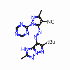 [C-]#[N+]c1c(C)nn(-c2ncncn2)c1/N=N/c1c(C(C)(C)C)nn2nc(C)[nH]c12